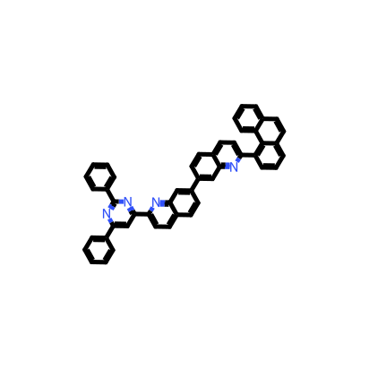 c1ccc(-c2cc(-c3ccc4ccc(-c5ccc6ccc(-c7cccc8ccc9ccccc9c78)nc6c5)cc4n3)nc(-c3ccccc3)n2)cc1